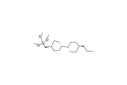 CCC[C@H]1CC[C@H]([C@H]2CC[C@H](C[Si](OC)(OC)OC)CC2)CC1